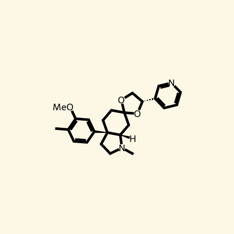 COc1cc([C@]23CCN(C)[C@H]2CC2(CC3)OC[C@H](c3cccnc3)O2)ccc1C